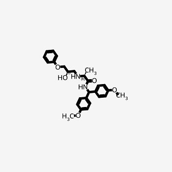 COc1ccc(C(NC(=O)[C@@H](C)NC[C@H](O)COc2ccccc2)c2ccc(OC)cc2)cc1